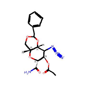 CC(=O)O[C@@H]1C(N=[N+]=[N-])[C@H]2OC(c3ccccc3)OC[C@H]2O[C@H]1C(N)=O